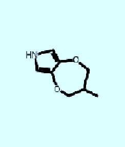 CC1COc2c[nH]cc2OC1